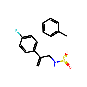 C=C(CN[SH](=O)=O)c1ccc(F)cc1.Cc1ccccc1